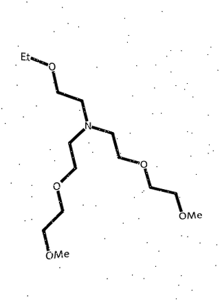 CCOCCN(CCOCCOC)CCOCCOC